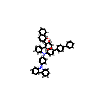 c1ccc(-c2ccc(-c3ccc(N(c4ccc(-n5c6ccccc6c6ccccc65)cc4)c4ccccc4-c4cccc5oc6c7ccccc7ccc6c45)cc3)cc2)cc1